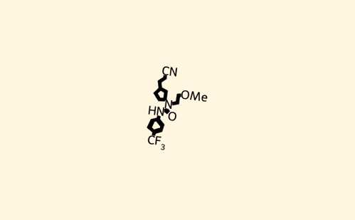 COCCN(C(=O)Nc1ccc(C(F)(F)F)cc1)C1CCC(CCC#N)C1